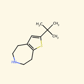 CC(C)(C)c1cc2c(s1)CCNCC2